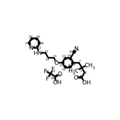 CC(C)(CC(=O)O)Cc1ccc(OCCCNc2ccccn2)cc1C#N.O=C(O)C(F)(F)F